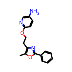 Cc1oc(-c2ccccc2)nc1CCOc1ccc(N)cn1